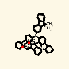 CC1(C)c2ccccc2-c2ccc(N(c3ccc4c(c3)sc3ccccc34)c3ccc4c(oc5ccccc54)c3C3(C)c4ccccc4-c4ccccc43)cc21